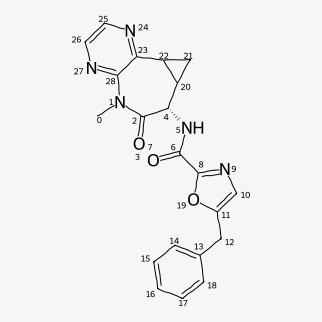 CN1C(=O)[C@@H](NC(=O)c2ncc(Cc3ccccc3)o2)C2CC2c2nccnc21